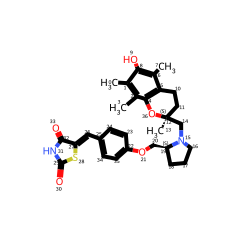 Cc1c(C)c2c(c(C)c1O)CC[C@@](C)(CN1CCC[C@H]1COc1ccc(C=C3SC(=O)NC3=O)cc1)O2